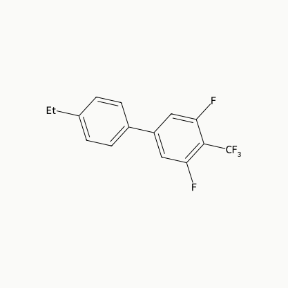 CCc1ccc(-c2cc(F)c(C(F)(F)F)c(F)c2)cc1